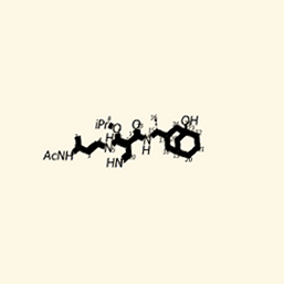 CC(=O)NC(C)/C=C/N/C(OC(C)C)=C(\C=N)C(=O)N[C@H](C)C1CC2CCC[C@](O)(C2)C1